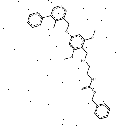 COc1cc(OCc2cccc(-c3ccccc3)c2C)cc(OC)c1CNCCNC(=O)OCc1ccccc1